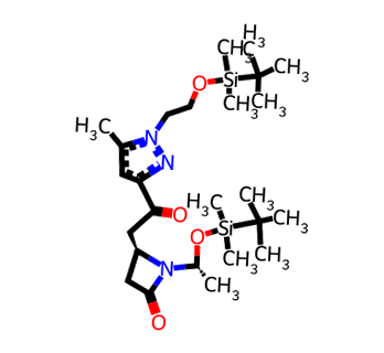 Cc1cc(C(=O)C[C@@H]2CC(=O)N2[C@@H](C)O[Si](C)(C)C(C)(C)C)nn1CCO[Si](C)(C)C(C)(C)C